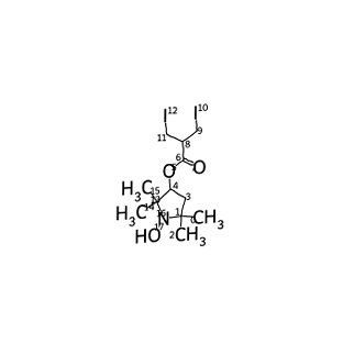 CC1(C)CC(OC(=O)C(CI)CI)C(C)(C)N1O